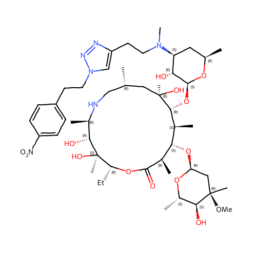 CC[C@H]1OC(=O)[C@H](C)[C@@H](O[C@H]2C[C@@](C)(OC)[C@@H](O)[C@H](C)O2)[C@H](C)[C@@H](O[C@@H]2O[C@H](C)C[C@H](N(C)CCc3cn(CCc4ccc([N+](=O)[O-])cc4)nn3)[C@H]2O)[C@](C)(O)C[C@@H](C)CN[C@H](C)[C@@H](O)[C@]1(C)O